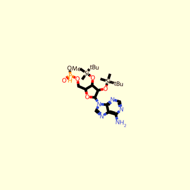 CO[PH](=O)OCC1OC(n2cnc3c(N)ncnc32)C(O[Si](C)(C)C(C)(C)C)C1O[Si](C)(C)C(C)(C)C